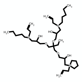 C=CCN(CCCCC)CC(O)COCC(CC)(COCC(O)C[N+]1(CC=C)CCCC1)OCC(O)CN(CC=C)CCCCC